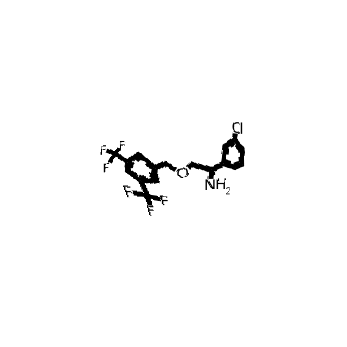 NC(COCc1cc(C(F)(F)F)cc(C(F)(F)F)c1)c1cccc(Cl)c1